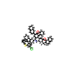 CC1(C)c2cc(/C=C(/c3ccc4c(c3)-c3ccccc3C43c4ccccc4Sc4cc(Cl)ccc43)c3cc(-c4ccc5ccccc5c4)c4oc5ccccc5c4c3)ccc2Oc2c1ccc1ccccc21